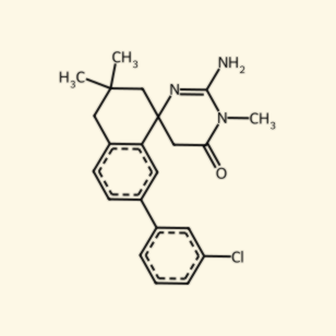 CN1C(=O)CC2(CC(C)(C)Cc3ccc(-c4cccc(Cl)c4)cc32)N=C1N